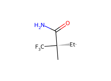 C[CH][C@@](C)(C(N)=O)C(F)(F)F